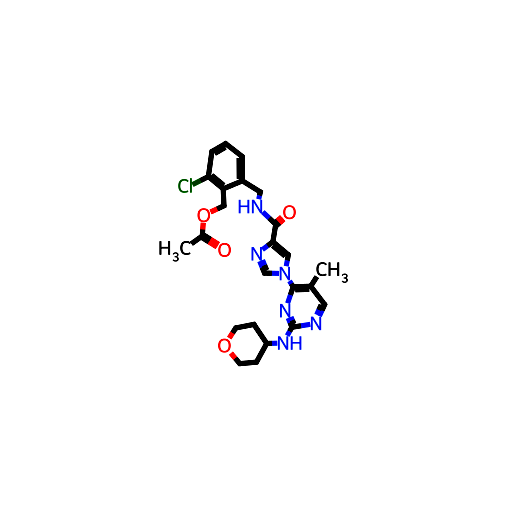 CC(=O)OCc1c(Cl)cccc1CNC(=O)c1cn(-c2nc(NC3CCOCC3)ncc2C)cn1